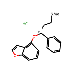 CNCC[C@@H](Oc1cccc2occc12)c1ccccc1.Cl